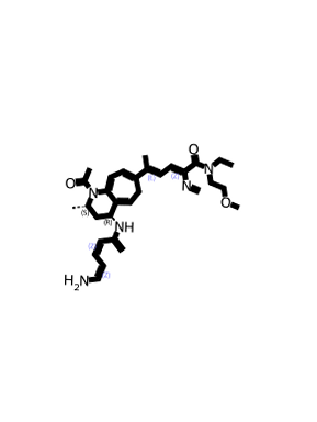 C=N/C(=C\C=C(/C)C1=CC=C2C(=CC1)[C@H](NC(=C)/C=C\C=C/N)C[C@H](C)N2C(C)=O)C(=O)N(CC)CCOC